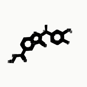 CCCCNC(=O)c1ccc2nn([C@@H](C)c3ccc(F)c(C(F)(F)F)c3)c(=O)n2c1